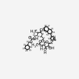 CC(=O)NC1C(OCCCC(C)C(C)CCNC(=O)OCc2ccccc2)OC(Cn2cc(-c3ccc4ccccc4c3)nn2)C(O)C1O